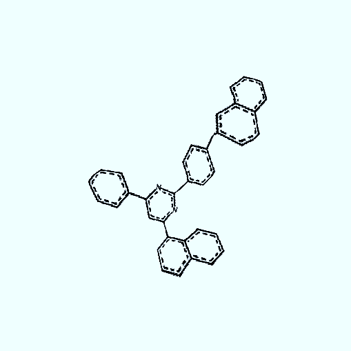 c1ccc(-c2cc(-c3cccc4ccccc34)nc(-c3ccc(-c4ccc5ccccc5c4)cc3)n2)cc1